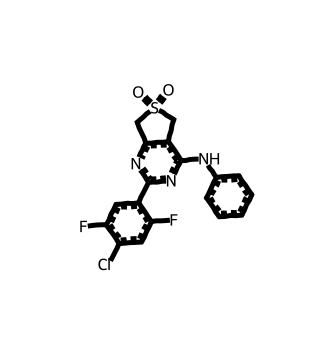 O=S1(=O)Cc2nc(-c3cc(F)c(Cl)cc3F)nc(Nc3ccccc3)c2C1